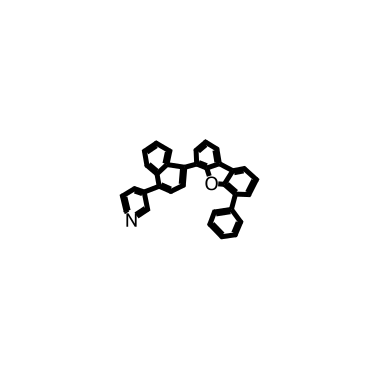 c1ccc(-c2cccc3c2oc2c(-c4ccc(-c5cccnc5)c5ccccc45)cccc23)cc1